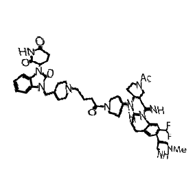 CN/C=C(\C=N)c1cc2c(cc1C(F)F)N(C(=N)C1CN(C(C)=O)CCC1NC1CCN(C(=O)CCCN3CCC(Cn4c(=O)n([C@@H]5CCC(=O)NC5=O)c5ccccc54)CC3)CC1)CCC2